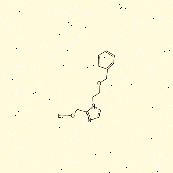 CCOCc1nccn1CCOCc1ccccc1